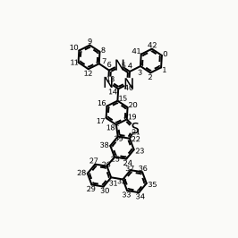 c1ccc(-c2nc(-c3ccccc3)nc(-c3ccc4c(c3)sc3ccc(-c5ccccc5-c5ccccc5)cc34)n2)cc1